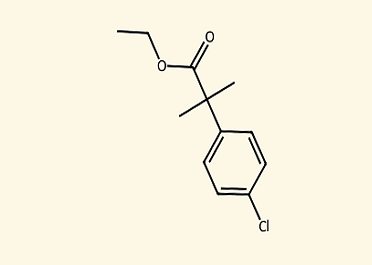 CCOC(=O)C(C)(C)c1ccc(Cl)cc1